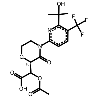 CC(=O)OC(C(=O)O)[C@H]1OCCN(c2ccc(C(F)(F)F)c(C(C)(C)O)n2)C1=O